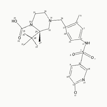 Cc1cc(NS(=O)(=O)c2ccc(Cl)nc2)ccc1CN1CCN(C(=O)O)[C@@](C)(C(C)(C)C)C1